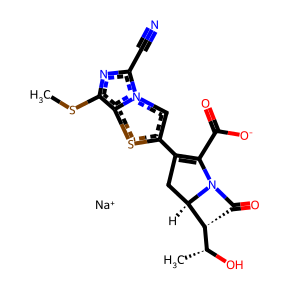 CSc1nc(C#N)n2cc(C3=C(C(=O)[O-])N4C(=O)[C@H]([C@@H](C)O)[C@H]4C3)sc12.[Na+]